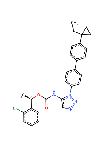 CCC1(c2ccc(-c3ccc(-n4nncc4NC(=O)O[C@H](C)c4ccccc4Cl)cc3)cc2)CC1